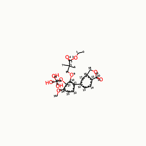 CCOC(=O)C(C)(C)COc1c(-c2ccc3c(c2)COC3=O)ccc(OC)c1OC(O)(O)O